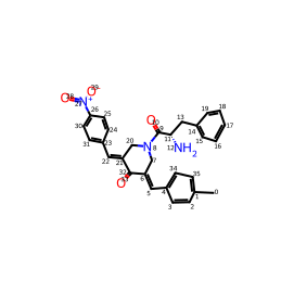 Cc1ccc(/C=C2\CN(C(=O)[C@@H](N)Cc3ccccc3)C/C(=C\c3ccc([N+](=O)[O-])cc3)C2=O)cc1